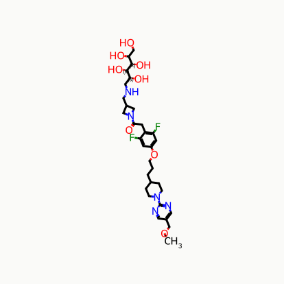 COCc1cnc(N2CCC(CCCOc3cc(F)c(CC(=O)N4CC(CNC[C@H](O)[C@@H](O)[C@H](O)C(O)CO)C4)c(F)c3)CC2)nc1